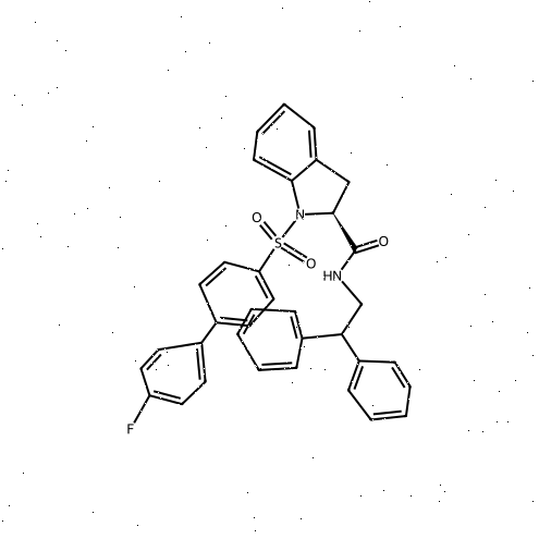 O=C(NCC(c1ccccc1)c1ccccc1)[C@@H]1Cc2ccccc2N1S(=O)(=O)c1ccc(-c2ccc(F)cc2)cc1